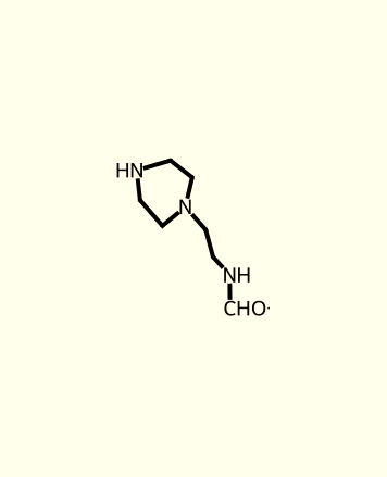 O=[C]NCCN1CCNCC1